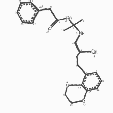 CC(C)(NCC(O)Cc1cccc2c1OCCO2)NC(=O)Cc1ccccc1